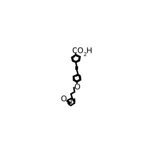 O=C(O)c1ccc(C#Cc2ccc(OCCCN3C(=O)C4CCC3CC4)cc2)cc1